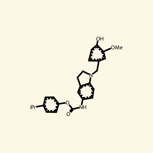 COc1cc(CN2CCc3cc(NC(=O)Oc4ccc(C(C)C)cc4)ccc32)ccc1O